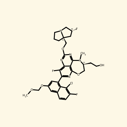 COCOc1cc(-c2nc3c4c(nc(OC[C@@]56CCCN5C[C@H](F)C6)nc4c2F)N(C)[C@@H](CCO)CO3)c2c(Cl)c(F)ccc2c1